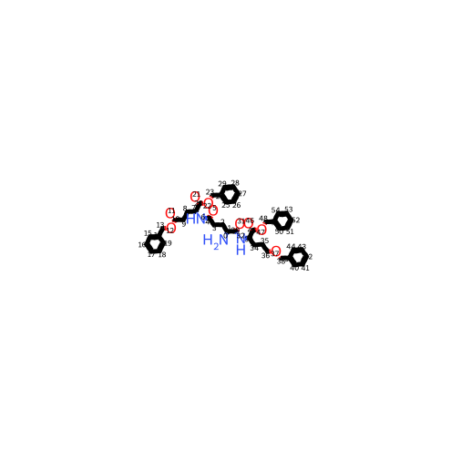 NC(CCC(=O)NC(CCC(=O)OCc1ccccc1)C(=O)OCc1ccccc1)C(=O)NC(CCCOCc1ccccc1)C(=O)OCc1ccccc1